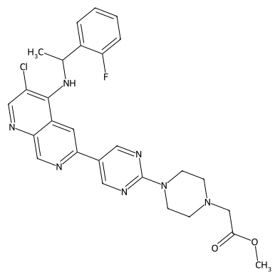 COC(=O)CN1CCN(c2ncc(-c3cc4c(NC(C)c5ccccc5F)c(Cl)cnc4cn3)cn2)CC1